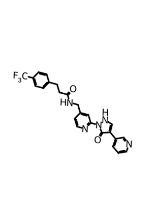 O=C(CCc1ccc(C(F)(F)F)cc1)NCc1ccnc(-n2[nH]cc(-c3cccnc3)c2=O)c1